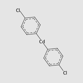 Clc1cc[c]([Cd][c]2ccc(Cl)cc2)cc1